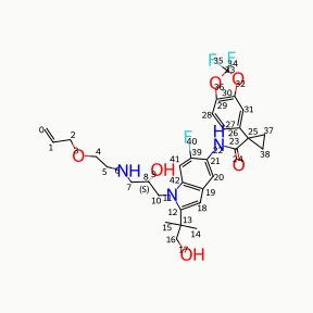 C=CCOCCNC[C@H](O)Cn1c(C(C)(C)CO)cc2cc(NC(=O)C3(c4ccc5c(c4)OC(F)(F)O5)CC3)c(F)cc21